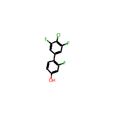 Oc1ccc(-c2cc(F)c(Cl)c(F)c2)c(F)c1